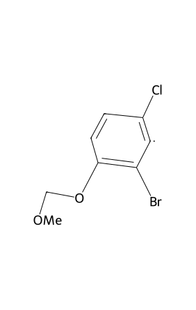 COCOc1ccc(Cl)[c]c1Br